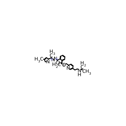 C=C(C)NCCc1ccc(COC(=C)c2ccccc2/C(C)=N/N=C(\C)C2=NCC(C)=C2)nc1